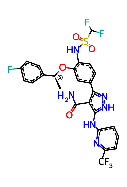 C[C@H](Oc1cc(-c2n[nH]c(Nc3cccc(C(F)(F)F)n3)c2C(N)=O)ccc1NS(=O)(=O)C(F)F)c1ccc(F)cc1